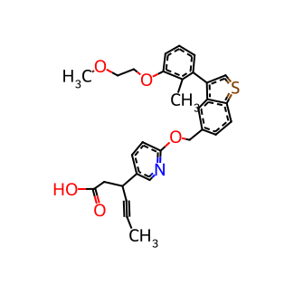 CC#CC(CC(=O)O)c1ccc(OCc2ccc3scc(-c4cccc(OCCOC)c4C)c3c2)nc1